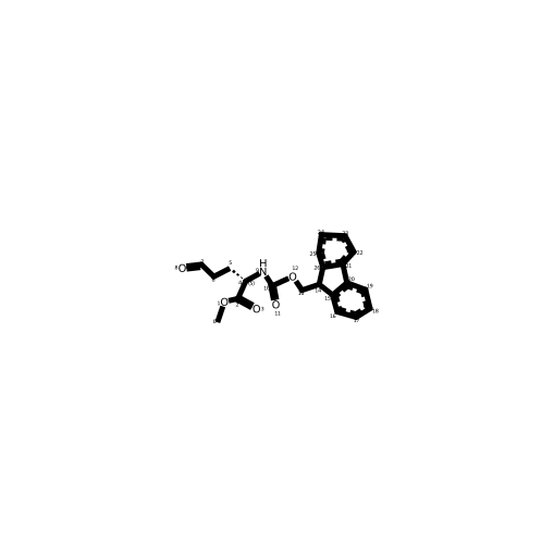 COC(=O)[C@H](CCC=O)NC(=O)OCC1c2ccccc2-c2ccccc21